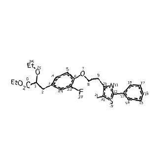 CCOC(=O)C(Cc1ccc(OCCc2nc(-c3ccccc3)sc2C)c(F)c1)OCC